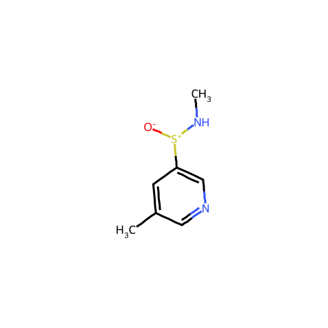 CN[S+]([O-])c1cncc(C)c1